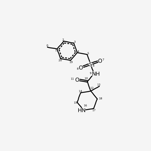 Cc1ccc(CS(=O)(=O)NC(=O)C2(C)CCNCC2)cc1